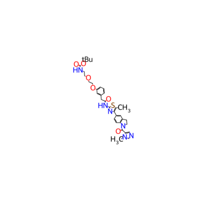 Cc1sc(NC(=O)Cc2cccc(OCCOCCNC(=O)OC(C)(C)C)c2)nc1-c1ccc2c(c1)CCN2C(=O)c1cncn1C